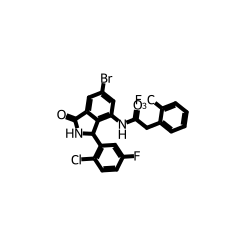 O=C(Cc1ccccc1C(F)(F)F)Nc1cc(Br)cc2c1C(c1cc(F)ccc1Cl)NC2=O